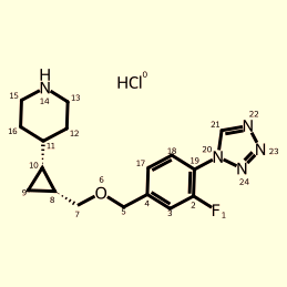 Cl.Fc1cc(COC[C@@H]2C[C@@H]2C2CCNCC2)ccc1-n1cnnn1